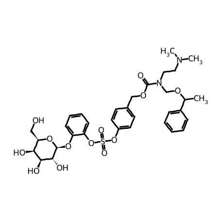 CC(OCN(CCN(C)C)C(=O)OCc1ccc(OS(=O)(=O)Oc2ccccc2O[C@@H]2O[C@H](CO)[C@H](O)[C@H](O)[C@H]2O)cc1)c1ccccc1